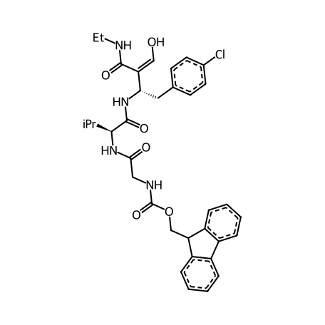 CCNC(=O)/C(=C\O)[C@H](Cc1ccc(Cl)cc1)NC(=O)[C@@H](NC(=O)CNC(=O)OCC1c2ccccc2-c2ccccc21)C(C)C